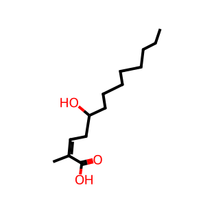 CCCCCCCCC(O)CC=C(C)C(=O)O